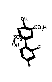 O=C(O)c1cc(-c2ccc(F)cc2F)ccc1O.O=S(=O)(O)O